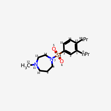 CCCc1cc(S(=O)(=O)N2CCCN(C)CC2)ccc1C(C)C